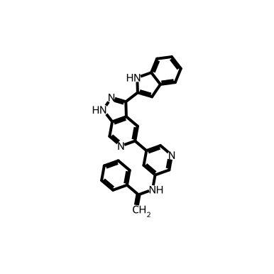 C=C(Nc1cncc(-c2cc3c(-c4cc5ccccc5[nH]4)n[nH]c3cn2)c1)c1ccccc1